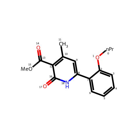 CCCOc1ccccc1-c1cc(C)c(C(=O)OC)c(=O)[nH]1